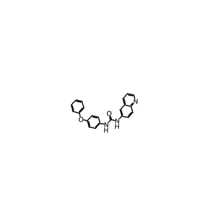 O=C(Nc1ccc(Oc2ccccc2)cc1)Nc1ccc2ncccc2c1